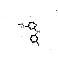 CONc1ccnc(Nc2cccc(F)c2)c1